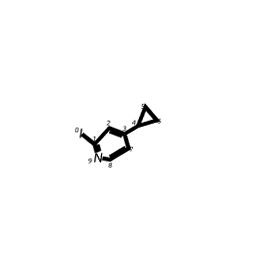 Ic1cc(C2CC2)ccn1